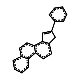 C1=C(c2ccccc2)Cc2ccc3c(ccc4ccccc43)c21